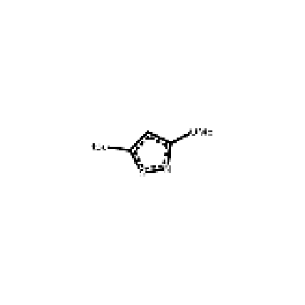 COc1cc(C(C)(C)C)sn1